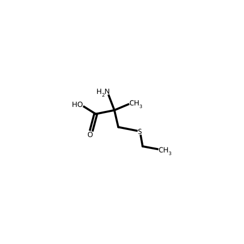 CCSCC(C)(N)C(=O)O